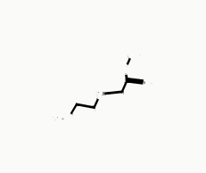 CSCCNCC(=O)OC(C)(C)C